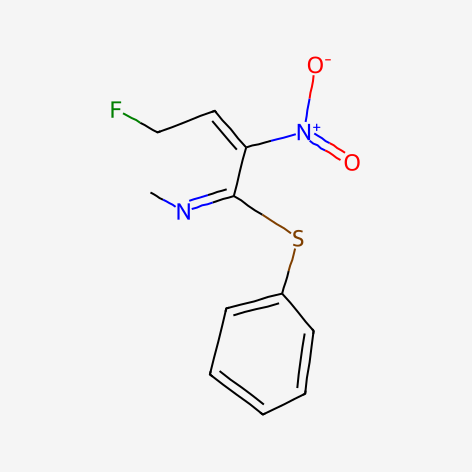 C/N=C(Sc1ccccc1)\C(=C/CF)[N+](=O)[O-]